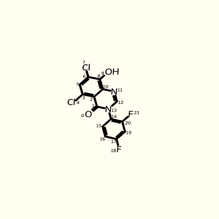 O=c1c2c(Cl)cc(Cl)c(O)c2ncn1-c1ccc(F)cc1F